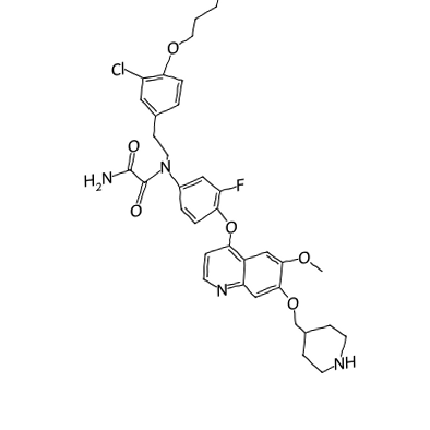 CCCCOc1ccc(CCN(C(=O)C(N)=O)c2ccc(Oc3ccnc4cc(OCC5CCNCC5)c(OC)cc34)c(F)c2)cc1Cl